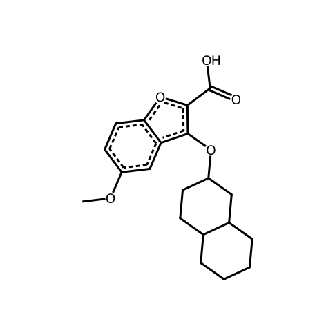 COc1ccc2oc(C(=O)O)c(OC3CCC4CCCCC4C3)c2c1